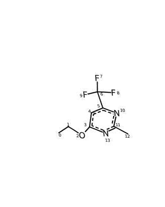 CCOc1[c]c(C(F)(F)F)nc(C)n1